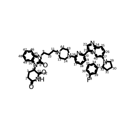 O=C1CCC(n2c(=O)n(CCCN3CCN(c4cccc(-c5cnc6ccc(N7CCC[C@@H]7c7cccc(F)c7)cn56)n4)CC3)c3ccccc32)C(=O)N1